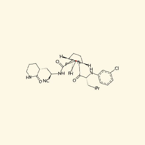 CC(C)C[C@@H](Nc1cccc(Cl)c1)C(=O)N1[C@H]2CC[C@@H]([C@@H]1C(=O)N[C@@H](C#N)C[C@H]1CCCNC1=O)C(F)(F)C2